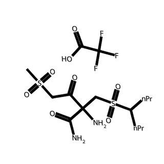 CCCC(CCC)S(=O)(=O)CC(N)(C(N)=O)C(=O)CS(C)(=O)=O.O=C(O)C(F)(F)F